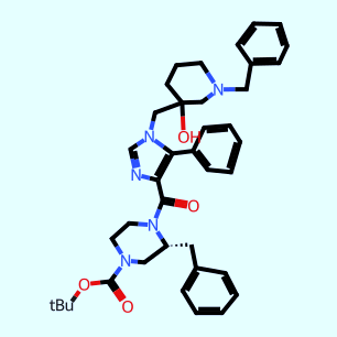 CC(C)(C)OC(=O)N1CCN(C(=O)c2ncn(CC3(O)CCCN(Cc4ccccc4)C3)c2-c2ccccc2)[C@H](Cc2ccccc2)C1